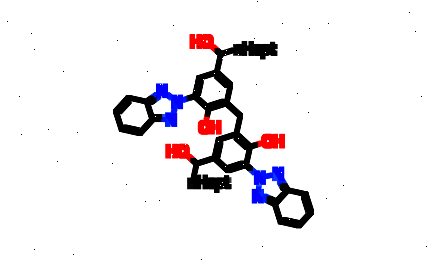 CCCCCCCC(O)c1cc(Cc2cc(C(O)CCCCCCC)cc(-n3nc4ccccc4n3)c2O)c(O)c(-n2nc3ccccc3n2)c1